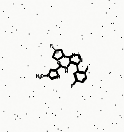 Cn1cnc(C(=O)Nc2c(-c3cc(F)ccc3I)ncnc2N2CC[C@H](F)C2)c1